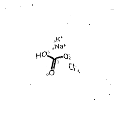 O=C([O-])O.[Cl-].[K+].[Na+]